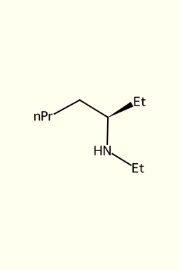 CCCC[C@@H](CC)NCC